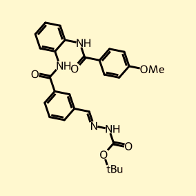 COc1ccc(C(=O)Nc2ccccc2NC(=O)c2cccc(C=NNC(=O)OC(C)(C)C)c2)cc1